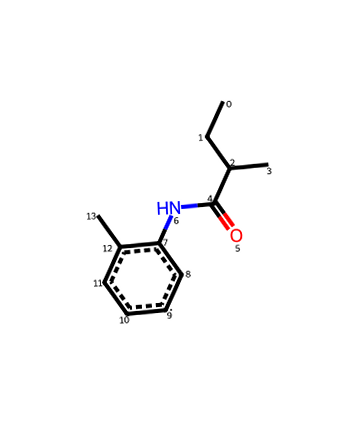 CCC(C)C(=O)Nc1c[c]ccc1C